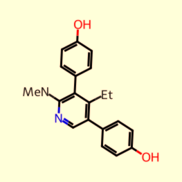 CCc1c(-c2ccc(O)cc2)cnc(NC)c1-c1ccc(O)cc1